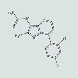 Cn1nc2c(-c3ccc(Cl)cc3Cl)cccc2c1NC(N)=O